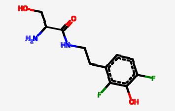 NC(CO)C(=O)NCCc1ccc(F)c(O)c1F